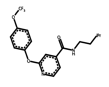 CC(C)CCNC(=O)c1ccnc(Oc2ccc(OC(F)(F)F)cc2)c1